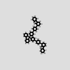 c1ccc2c(c1)-c1ccccc1C2(c1ccc(-c2ccc(-c3cccc4c3sc3ccccc34)cc2)cc1)c1ccc(-c2ccc(-c3cccc4c3sc3ccccc34)cc2)cc1